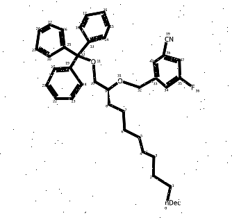 CCCCCCCCCCCCCCCCCC[C@@H](COC(c1ccccc1)(c1ccccc1)c1ccccc1)OCc1cc(F)cc(C#N)c1